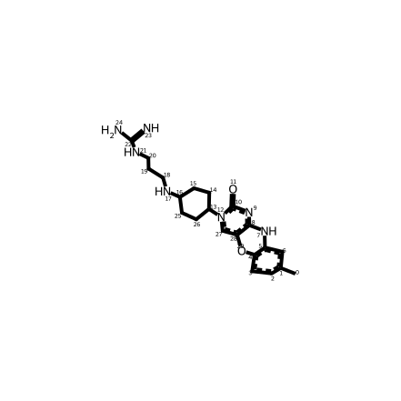 Cc1ccc2c(c1)Nc1nc(=O)n(C3CCC(NCCCNC(=N)N)CC3)cc1O2